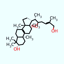 C/C(=C\CC(O)[C@@H](C)[C@H]1CC[C@@]2(C)C3=C(CC[C@]12C)[C@@]1(C)CC[C@H](O)C(C)(C)C1CC3)CO